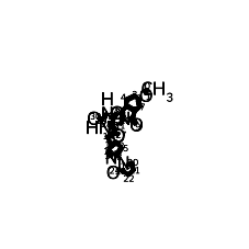 COc1ccc2c(c1)C(=O)N(C[C@@]1(c3cc4cnc(N5CCCC5=O)cc4o3)NC(=O)NC1=O)C2